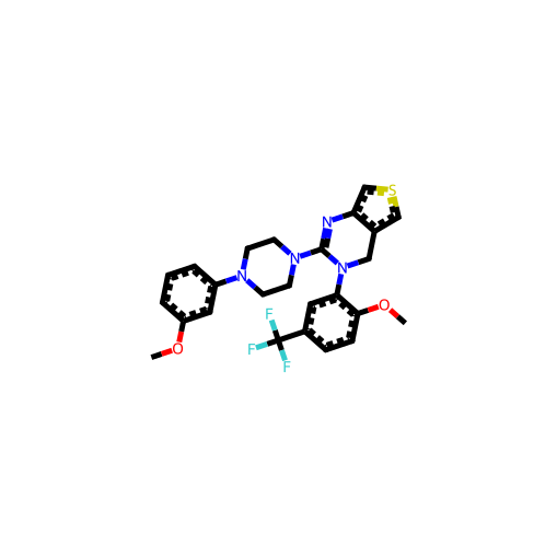 COc1cccc(N2CCN(C3=Nc4cscc4CN3c3cc(C(F)(F)F)ccc3OC)CC2)c1